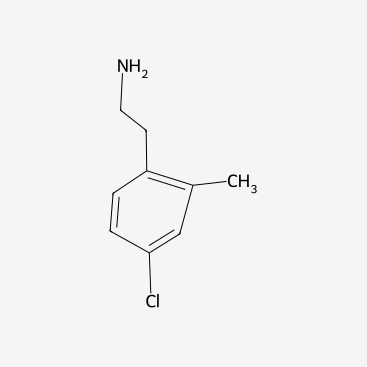 Cc1cc(Cl)ccc1CCN